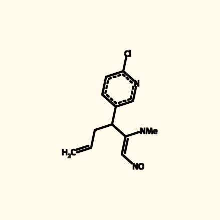 C=CCC(/C(=C/N=O)NC)c1ccc(Cl)nc1